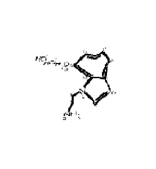 Cl.Cl.NCn1cnc2ccccc21.O